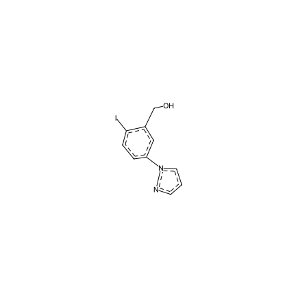 OCc1cc(-n2cccn2)ccc1I